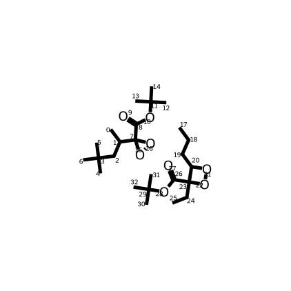 CC(CC(C)(C)C)C1(C(=O)OC(C)(C)C)OO1.CCCC1OOC1(CC)C(=O)OC(C)(C)C